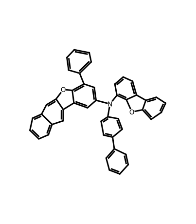 c1ccc(-c2ccc(N(c3cc(-c4ccccc4)c4oc5cc6ccccc6cc5c4c3)c3cccc4c3oc3ccccc34)cc2)cc1